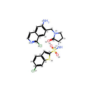 Nc1cc2ccnc(Cl)c2cc1CN1CC[C@H](NS(=O)(=O)c2cc3ccc(Cl)cc3s2)C1=O